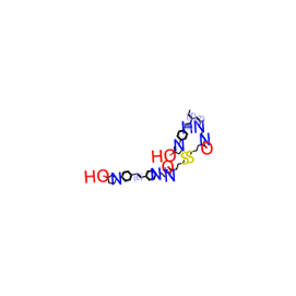 C/C=C(\C=C/NCCN(C)C(=O)CCCSSCCCC(=O)N(C)CC[n+]1ccc(/C=C/c2ccc(N3CCC(O)C3)cc2)cc1)/C=C/c1ccc(N2CCC(O)C2)cc1